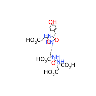 O=C(O)CCC(=O)N[C@H](Cc1ccc(O)cc1)C(=O)NCCCC[C@H](NC(=O)N[C@@H](CCC(=O)O)C(=O)O)C(=O)O